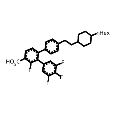 CCCCCCC1CCC(CCc2ccc(-c3ccc(C(=O)O)c(F)c3-c3cc(F)c(F)c(F)c3)cc2)CC1